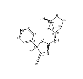 CC1(c2ccncc2)SC(N[C@H]2C[C@@H]3CCC2C3)=NC1=O